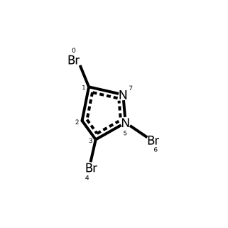 Brc1cc(Br)n(Br)n1